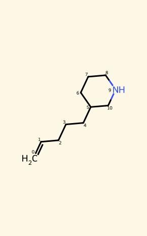 C=CCCCC1CCCNC1